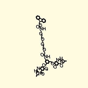 C=C1C[C@H]2C=Nc3cc(OCc4cc(CNC(=O)CCOCCOCCOCCOCCNC(=O)OCC5c6ccccc6-c6ccccc65)cc(COc5cc6c(cc5OC)C(=O)N5CC(=C)C[C@H]5C=N6)c4)c(OC)cc3C(=O)N2C1